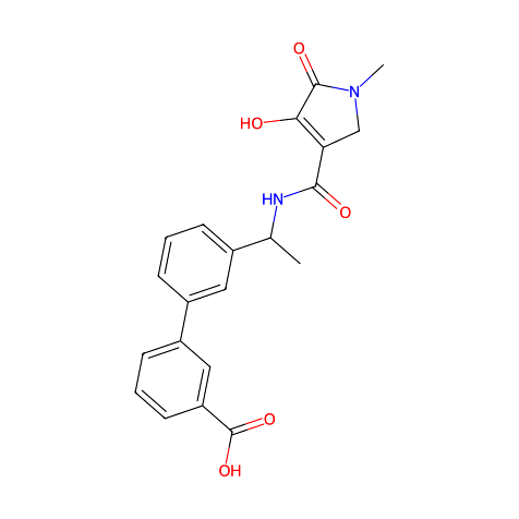 CC(NC(=O)C1=C(O)C(=O)N(C)C1)c1cccc(-c2cccc(C(=O)O)c2)c1